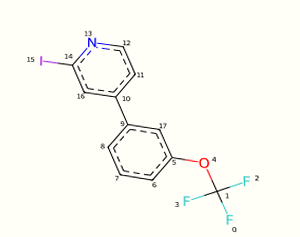 FC(F)(F)Oc1cccc(-c2ccnc(I)c2)c1